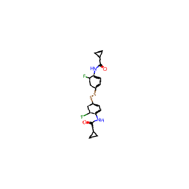 O=C(NC1=CC=C(SSC2=CC=C(NC(=O)C3CC3)C(F)C2)CC1F)C1CC1